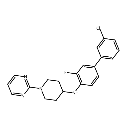 Fc1cc(-c2cccc(Cl)c2)ccc1NC1CCN(c2ncccn2)CC1